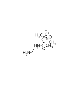 CC1(C)CC(C(=O)NCCCN)C(C)(C)N1[O]